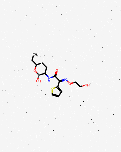 CCC1CCC(NC(=O)/C(=N/OCCO)c2cccs2)B(O)O1